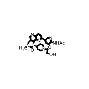 CC(=O)Nc1ccc(-c2ccc3ncc4c(c3n2)N(C2CCN(C(=O)CO)CC2)C(=O)N(C)C4)cn1